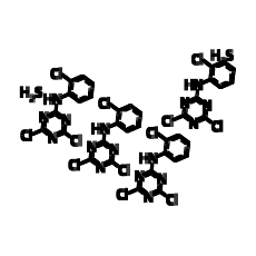 Clc1nc(Cl)nc(Nc2ccccc2Cl)n1.Clc1nc(Cl)nc(Nc2ccccc2Cl)n1.Clc1nc(Cl)nc(Nc2ccccc2Cl)n1.Clc1nc(Cl)nc(Nc2ccccc2Cl)n1.S.S